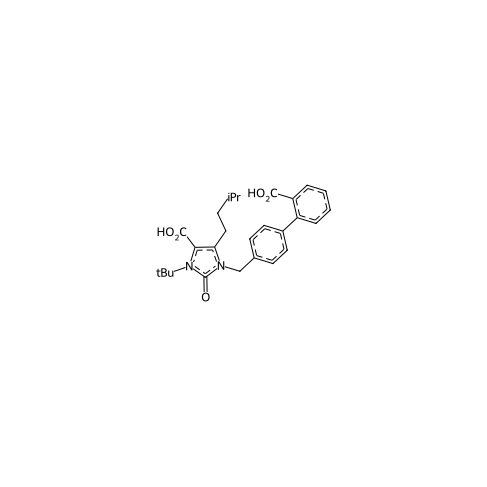 CC(C)CCc1c(C(=O)O)n(C(C)(C)C)c(=O)n1Cc1ccc(-c2ccccc2C(=O)O)cc1